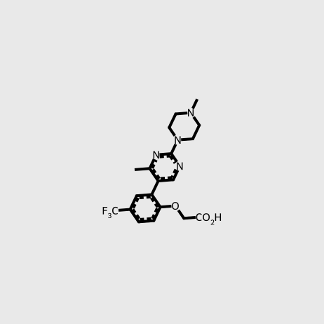 Cc1nc(N2CCN(C)CC2)ncc1-c1cc(C(F)(F)F)ccc1OCC(=O)O